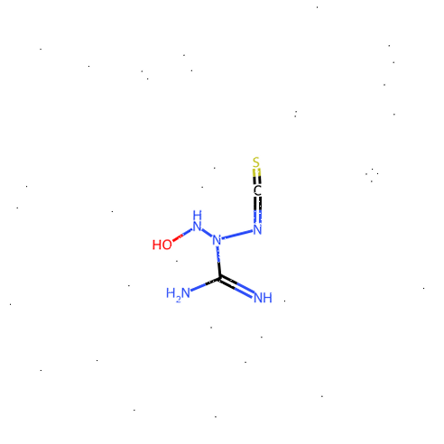 N=C(N)N(N=C=S)NO